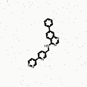 c1ccc(-c2ccc3c(NCc4ccc(-c5ccnnc5)nc4)ncnc3c2)cc1